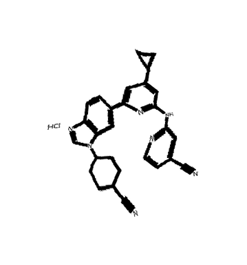 Cl.N#Cc1ccnc(Nc2cc(C3CC3)cc(-c3ccc4ncn(C5CCC(C#N)CC5)c4c3)n2)c1